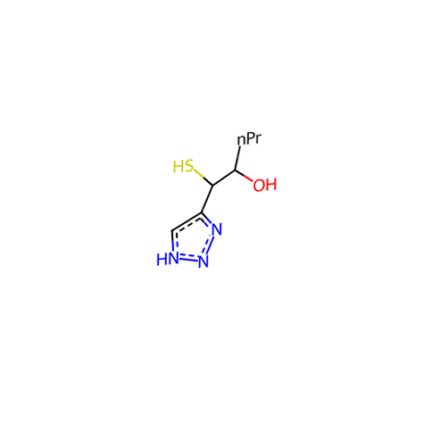 CCCC(O)C(S)c1c[nH]nn1